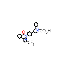 O=C(O)CN1CCC(c2ccc(NC(=O)c3ccccc3-c3ccc(C(F)(F)F)cc3)cc2)CC1c1ccccc1